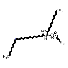 CCCCCCCC/C=C\CCCCCCCCCCCC(=O)N[C@@H](COP(=O)(O)OCCN)[C@H](O)/C=C/CCCCCCCCC